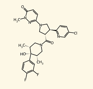 C[C@@H]1CN(C(=O)[C@@H]2CN(c3ccc(=O)n(C)n3)C[C@H]2c2ccc(Cl)cn2)C[C@H](C)[C@@]1(O)c1ccc(F)c(F)c1